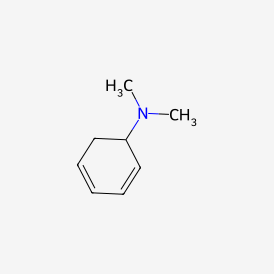 CN(C)C1C=CC=CC1